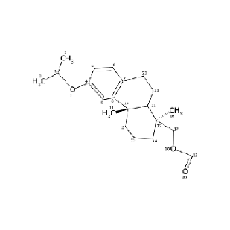 CC(C)Oc1ccc2c(c1)[C@@]1(C)CCC[C@](C)(COC=O)C1CC2